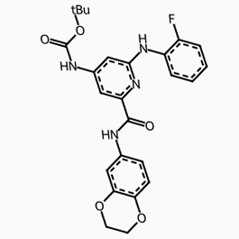 CC(C)(C)OC(=O)Nc1cc(Nc2ccccc2F)nc(C(=O)Nc2ccc3c(c2)OCCO3)c1